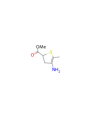 COC(=O)C1CC(N)=C(C)S1